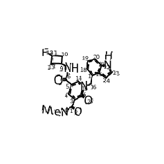 CNC(=O)c1cc(C(=O)NC2CC(F)C2)cn(Cc2cccc3[nH]ccc23)c1=O